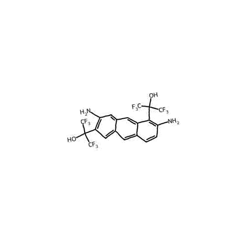 Nc1cc2cc3c(C(O)(C(F)(F)F)C(F)(F)F)c(N)ccc3cc2cc1C(O)(C(F)(F)F)C(F)(F)F